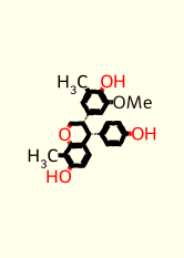 COc1cc([C@H]2COc3c(ccc(O)c3C)[C@H]2c2ccc(O)cc2)cc(C)c1O